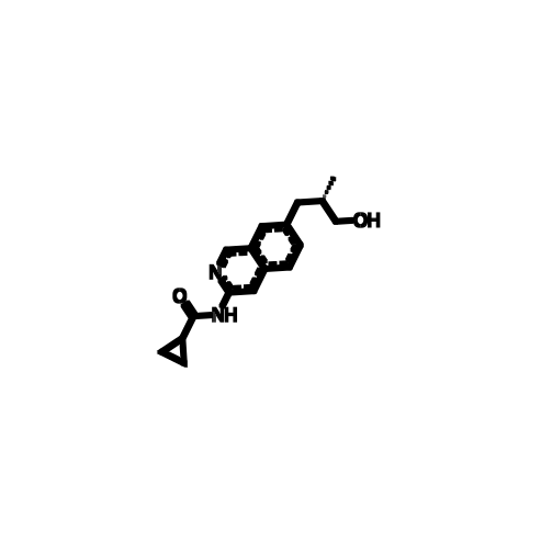 C[C@H](CO)Cc1ccc2cc(NC(=O)C3CC3)ncc2c1